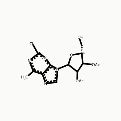 CC(=O)OC1C(OC(C)=O)[C@@H](CO)OC1n1cnc2c(C)nc(Cl)nc21